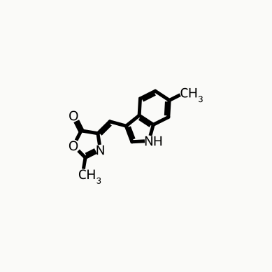 CC1=N/C(=C\c2c[nH]c3cc(C)ccc23)C(=O)O1